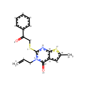 C=CCn1c(SCC(=O)c2ccccc2)nc2sc(C)cc2c1=O